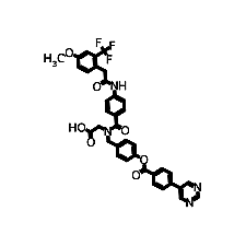 COc1ccc(CC(=O)Nc2ccc(C(=O)N(CC(=O)O)Cc3ccc(OC(=O)c4ccc(-c5cncnc5)cc4)cc3)cc2)c(C(F)(F)F)c1